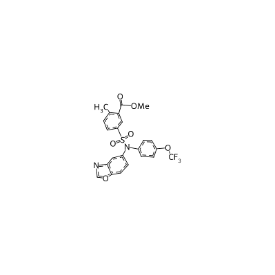 COC(=O)c1cc(S(=O)(=O)N(c2ccc(OC(F)(F)F)cc2)c2ccc3ocnc3c2)ccc1C